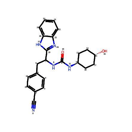 N#Cc1ccc(CC(NC(=O)N[C@H]2CC[C@H](O)CC2)c2nc3ccccc3[nH]2)cc1